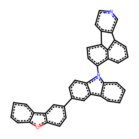 c1ccc2c(c1)oc1ccc(-c3ccc4c(c3)c3ccccc3n4-c3ccc4c5c(cccc35)-c3cnccc3-4)cc12